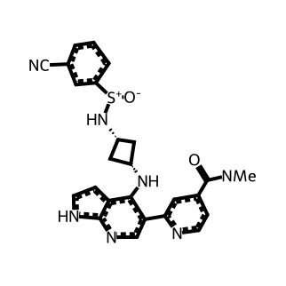 CNC(=O)c1ccnc(-c2cnc3[nH]ccc3c2N[C@H]2C[C@@H](N[S+]([O-])c3cccc(C#N)c3)C2)c1